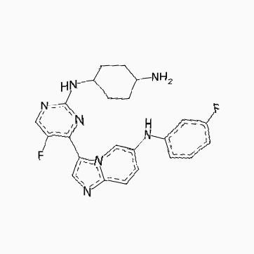 NC1CCC(Nc2ncc(F)c(-c3cnc4ccc(Nc5cccc(F)c5)cn34)n2)CC1